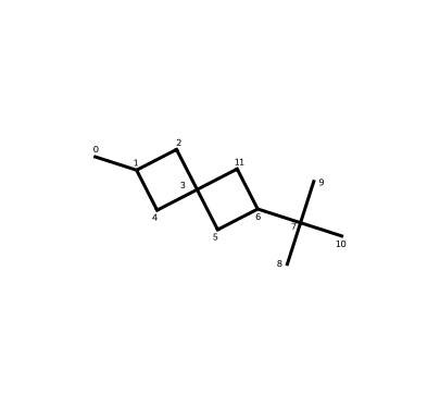 CC1CC2(C1)CC(C(C)(C)C)C2